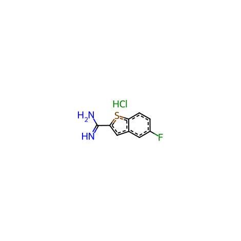 Cl.N=C(N)c1cc2cc(F)ccc2s1